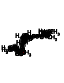 CCCC(CC)(SC(C)CC)C1CC(=O)N(CCC(=O)NCCOCCOCCC(=O)NCC(=O)N[C@H](C(=O)NCC(=O)Nc2ccc(COC(=O)O[C@@]3(CC)C(=O)OCc4c3cc3n(c4=O)Cc4c-3nc3ccccc3c4/C=N/OC(C)(C)C)cc2)C(C)C)C1=O